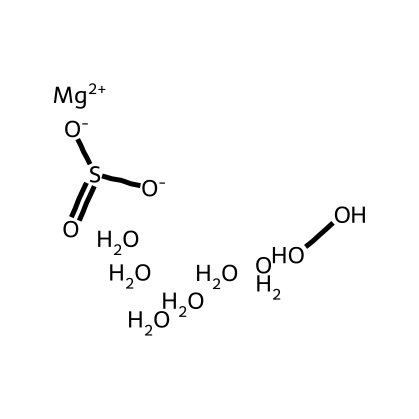 O.O.O.O.O.O.O=S([O-])[O-].OO.[Mg+2]